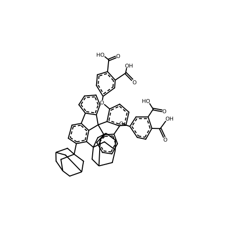 O=C(O)c1ccc(Oc2ccccc2C2(c3ccccc3Oc3ccc(C(=O)O)c(C(=O)O)c3)c3ccccc3-c3ccc(C45CC6CC(CC(C6)C4)C5)c(C45CC6CC(CC(C6)C4)C5)c32)cc1C(=O)O